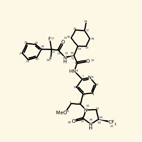 COCC(c1ccnc(NC(=O)[C@@H](NC(=O)C(F)(F)c2ccccc2)C2CCC(C)CC2)c1)N1C[C@@H](C(F)(F)F)NC1=O